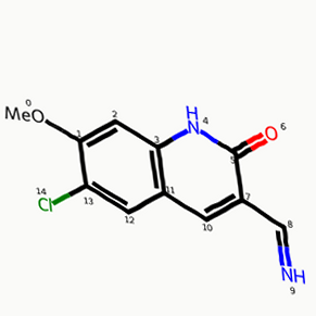 COc1cc2[nH]c(=O)c(C=N)cc2cc1Cl